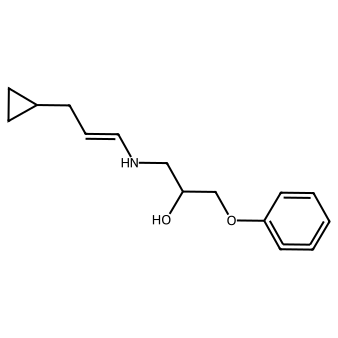 OC(CNC=CCC1CC1)COC1=C=C=CC=C1